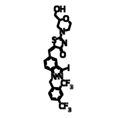 O=C1N=C(N2CCOC(CO)C2)SC1=Cc1ccc2c(c1)c(I)nn2Cc1ccc(C(F)(F)F)cc1C(F)(F)F